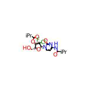 CC(C)C(=O)Nc1ccn([C@@H]2O[C@H](CO)[C@@H](OC(=O)C(C)C)[C@]2(F)Cl)c(=O)n1